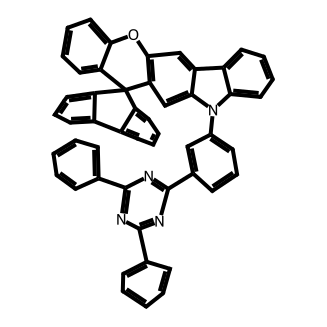 c1ccc(-c2nc(-c3ccccc3)nc(-c3cccc(-n4c5ccccc5c5cc6c(cc54)C4(c5ccccc5O6)c5ccccc5-c5ccccc54)c3)n2)cc1